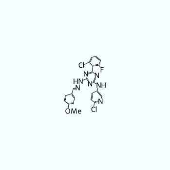 COc1ccc(/C=N/Nc2nc(Nc3ccc(Cl)nc3)nc(-c3c(F)cccc3Cl)n2)cc1